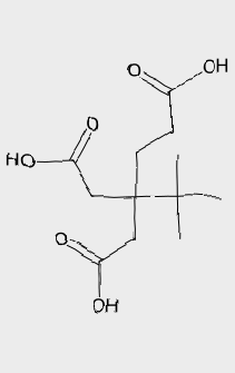 CC(C)(C)C(CCC(=O)O)(CC(=O)O)CC(=O)O